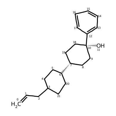 C=CCC1CCC([C@H]2CC[C@](O)(c3ccccc3)CC2)CC1